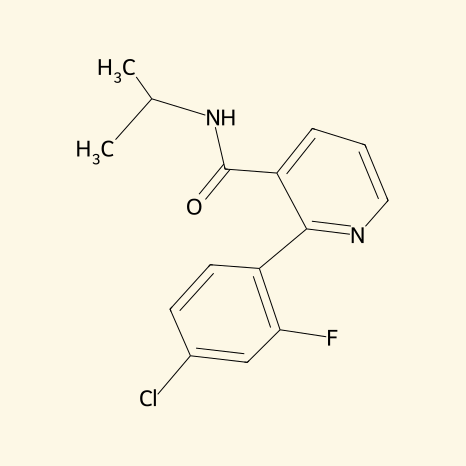 CC(C)NC(=O)c1cccnc1-c1ccc(Cl)cc1F